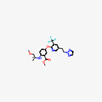 COC[C@H](C)Nc1ccc(Oc2ncc(CCn3nccn3)cc2C(F)(F)F)cc1C(=O)OC